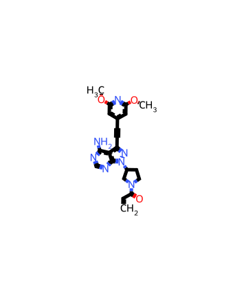 C=CC(=O)N1CCC(n2nc(C#Cc3cc(OC)nc(OC)c3)c3c(N)ncnc32)C1